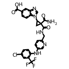 NC(=O)C1(C(=O)NCc2ccc(Nc3ccc(Cl)cc3C(F)(F)F)cn2)CC1n1cnc2cc(C(=O)O)ccc21